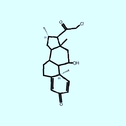 C[C@H]1CC2C3CCC4=CC(=O)C=C[C@]4(C)C3C(O)CC2(C)C1C(=O)CCl